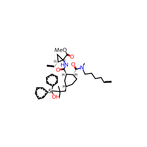 C=CCCCCN(C)C(=O)[C@@H]1CC[C@@H](CC(C)(C)[Si](O)(c2ccccc2)c2ccccc2)C[C@H]1C(=O)N[C@]1(C(=O)OC)C[C@H]1C=C